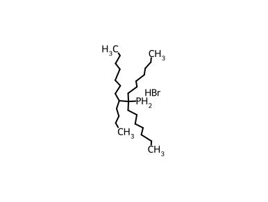 Br.CCCCCCCC(CCCC)C(P)(CCCCCCC)CCCCCCC